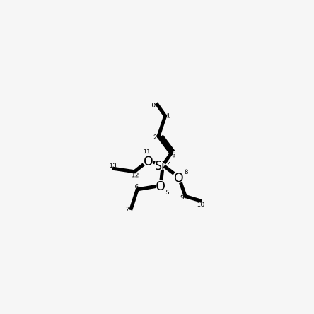 CCC=C[Si](OCC)(OCC)OCC